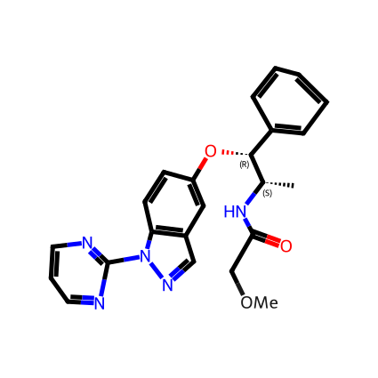 COCC(=O)N[C@@H](C)[C@H](Oc1ccc2c(cnn2-c2ncccn2)c1)c1ccccc1